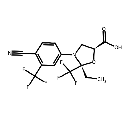 CC[C@]1(C(F)(F)F)O[C@H](C(=O)O)CN1c1ccc(C#N)c(C(F)(F)F)c1